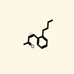 CCCCc1ccccc1/C=C\C(C)=O